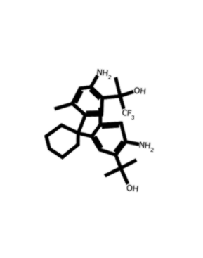 Cc1cc(N)c(C(C)(C)O)cc1C1(c2cc(C(C)(O)C(F)(F)F)c(N)cc2C)CCCCC1